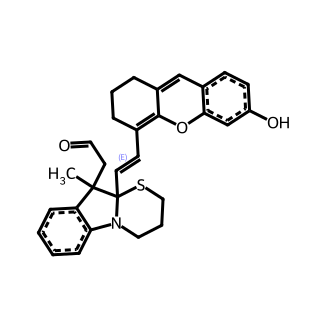 CC1(CC=O)c2ccccc2N2CCCSC21/C=C/C1=C2Oc3cc(O)ccc3C=C2CCC1